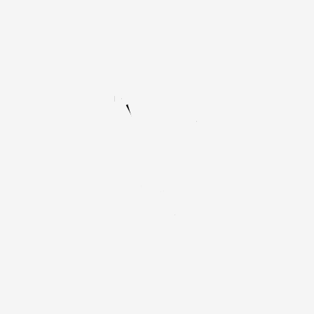 O=C[C@@H]1C2CC(=O)O[C@H]2C[C@H]1O